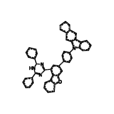 c1ccc(C2=NC(c3cc(-c4ccc(-n5c6ccccc6c6cc7ccccc7cc65)cc4)cc4oc5ccccc5c34)=NC(c3ccccc3)N2)cc1